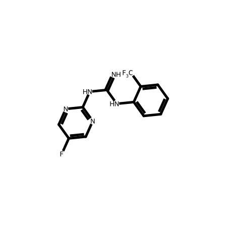 N=C(Nc1ncc(F)cn1)Nc1ccccc1C(F)(F)F